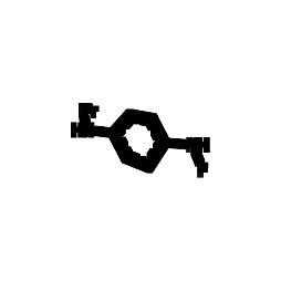 CC(C)Nc1ccc(NF)cc1